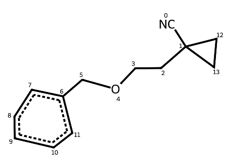 N#CC1(CCOCc2ccccc2)CC1